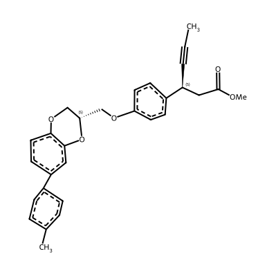 CC#C[C@@H](CC(=O)OC)c1ccc(OC[C@H]2COc3ccc(-c4ccc(C)cc4)cc3O2)cc1